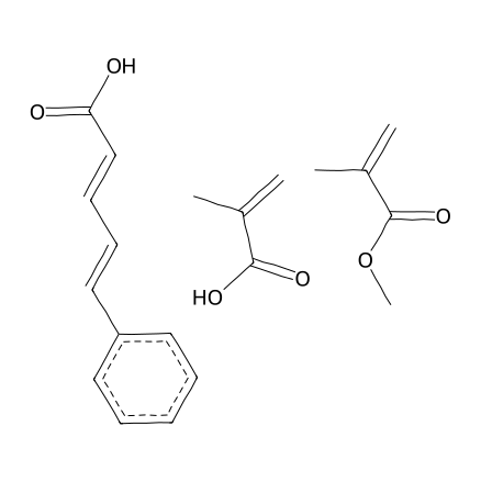 C=C(C)C(=O)O.C=C(C)C(=O)OC.O=C(O)C=CC=Cc1ccccc1